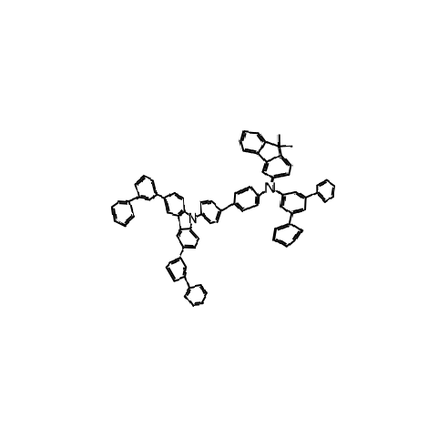 CC1(C)c2ccccc2-c2cc(N(c3ccc(-c4ccc(-n5c6ccc(-c7cccc(-c8ccccc8)c7)cc6c6cc(-c7cccc(-c8ccccc8)c7)ccc65)cc4)cc3)c3cc(-c4ccccc4)cc(-c4ccccc4)c3)ccc21